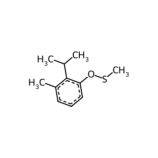 CSOc1cccc(C)c1C(C)C